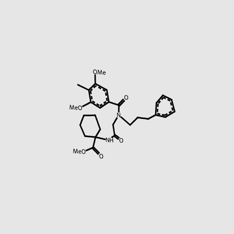 COC(=O)C1(NC(=O)CN(CCCc2ccccc2)C(=O)c2cc(OC)c(C)c(OC)c2)CCCCC1